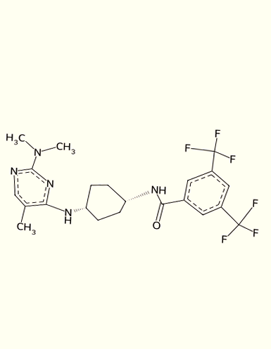 Cc1cnc(N(C)C)nc1N[C@H]1CC[C@@H](NC(=O)c2cc(C(F)(F)F)cc(C(F)(F)F)c2)CC1